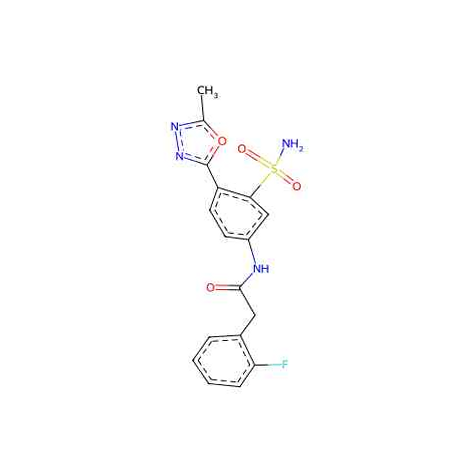 Cc1nnc(-c2ccc(NC(=O)Cc3ccccc3F)cc2S(N)(=O)=O)o1